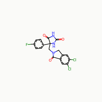 O=C1NC(=O)C(CN2Cc3cc(Cl)c(Cl)cc3C2=O)(c2ccc(F)cc2)N1